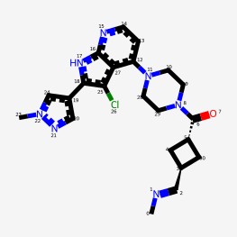 CN=C[C@H]1C[C@H](C(=O)N2CCN(c3ccnc4[nH]c(-c5cnn(C)c5)c(Cl)c34)CC2)C1